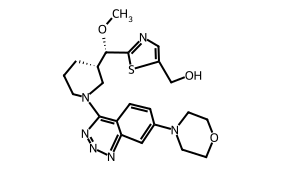 CO[C@H](c1ncc(CO)s1)[C@H]1CCCN(c2nnnc3cc(N4CCOCC4)ccc23)C1